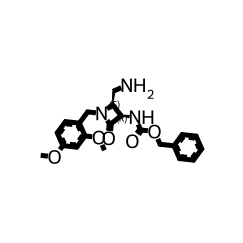 COc1ccc(CN2C(=O)[C@H](NC(=O)OCc3ccccc3)[C@@H]2CN)c(OC)c1